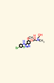 COc1cc2c(Nc3ccc(Br)cc3F)ncnc2cc1OCC(O)CN(C)CCO